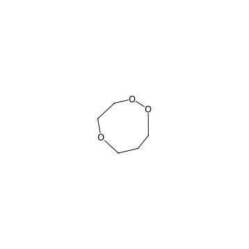 C1COCCOOC1